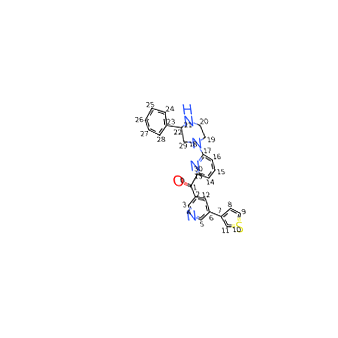 O=C(c1cncc(-c2ccsc2)c1)c1cccc(N2CCNC(c3ccccc3)C2)n1